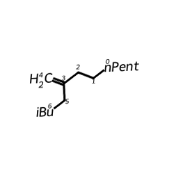 [CH2]CCCCCCC(=C)CC(C)CC